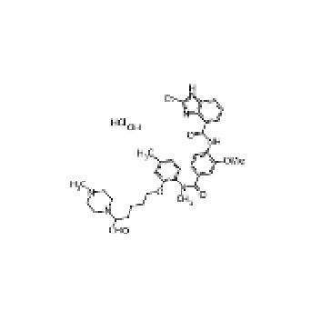 CCc1nc2c(C(=O)Nc3ccc(C(=O)N(C)c4ccc(C)cc4OCCCCC(C=O)N4CCN(C)CC4)cc3OC)cccc2[nH]1.Cl.Cl